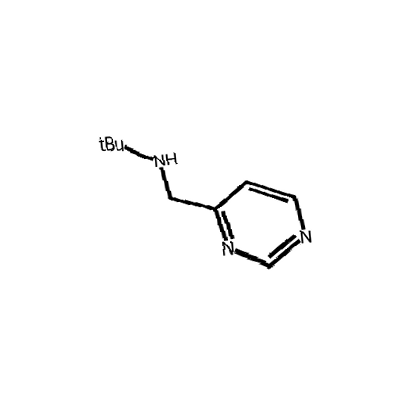 CC(C)(C)NCc1ccncn1